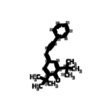 CC(C)(C)C1=CC(=CC#Cc2ccccc2)C=C(C(C)(C)C)C1=O